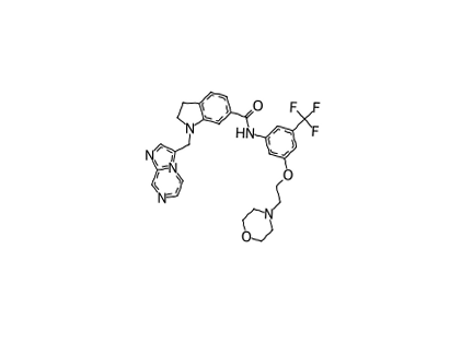 O=C(Nc1cc(OCCN2CCOCC2)cc(C(F)(F)F)c1)c1ccc2c(c1)N(Cc1cnc3cnccn13)CC2